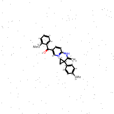 C=C(Nc1ccc(C(=O)c2ccccc2OC)cn1)C1(c2ccc(SC)cc2)CC1